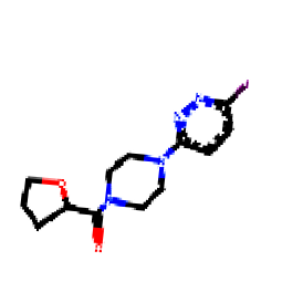 O=C(C1CCCO1)N1CCN(c2ccc(I)nn2)CC1